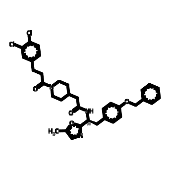 Cc1cnc([C@H](Cc2ccc(OCc3ccccc3)cc2)NC(=O)CC2CCN(C(=O)CCc3ccc(Cl)c(Cl)c3)CC2)o1